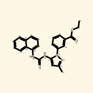 CCOC(=O)c1cccc(-n2nc(C)cc2NC(=O)Nc2cccc3ccccc23)c1